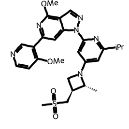 COc1ccncc1-c1cc2c(cnn2-c2cc(N3C[C@H](CS(C)(=O)=O)[C@H]3C)cc(C(C)C)n2)c(OC)n1